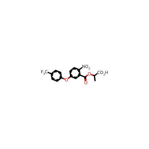 CC(OC(=O)c1cc(Oc2ccc(C(F)(F)F)cc2)ccc1[N+](=O)[O-])C(=O)O